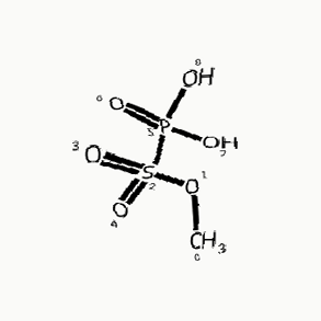 COS(=O)(=O)P(=O)(O)O